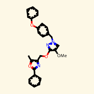 COc1cn(Cc2ccc(Oc3ccccc3)cc2)nc1OCc1nc(-c2ccccc2)oc1C